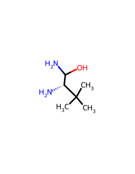 CC(C)(C)[C@H](N)C(N)O